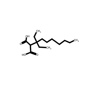 CCCCCCCC(CC)(CC)C(C(=O)O)C(=O)O